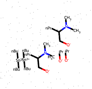 CC(C)[O-].CC(C)[O-].CCCC(C[O-])N(C)C.CCCC(C[O-])N(C)C.CCC[CH2][Sn+2][CH2]CCC.CCC[CH2][Sn+2][CH2]CCC